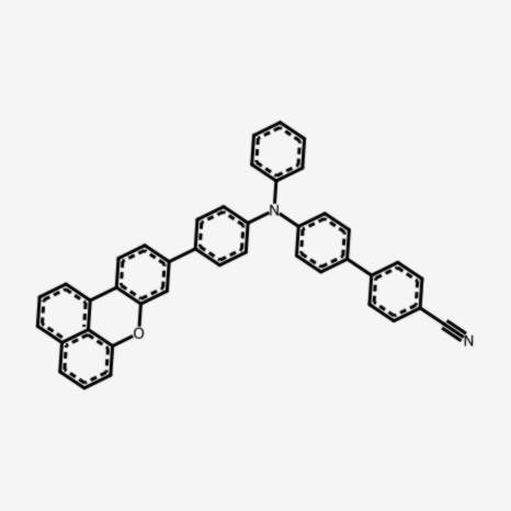 N#Cc1ccc(-c2ccc(N(c3ccccc3)c3ccc(-c4ccc5c(c4)Oc4cccc6cccc-5c46)cc3)cc2)cc1